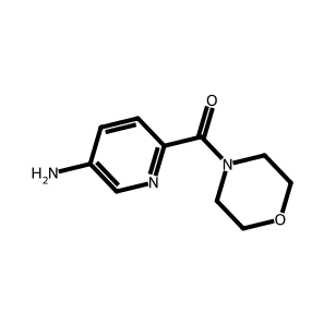 Nc1ccc(C(=O)N2CCOCC2)nc1